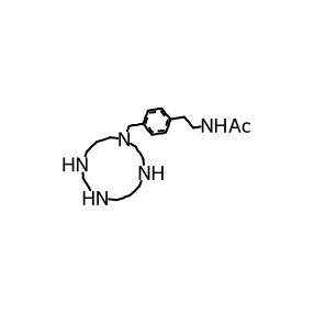 CC(=O)NCCc1ccc(CN2CCCNCCNCCCNCC2)cc1